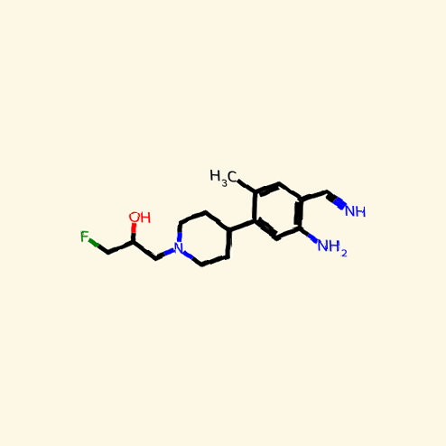 Cc1cc(C=N)c(N)cc1C1CCN(CC(O)CF)CC1